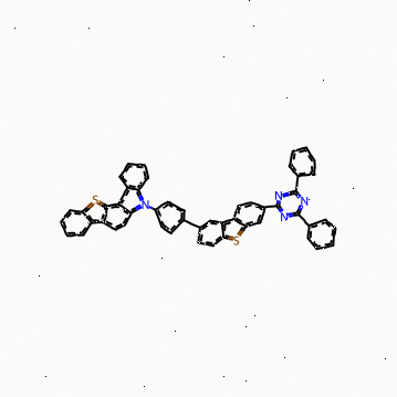 c1ccc(-c2nc(-c3ccccc3)nc(-c3ccc4c(c3)sc3ccc(-c5ccc(-n6c7ccccc7c7c8sc9ccccc9c8ccc76)cc5)cc34)n2)cc1